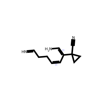 N#CC1(C(/C=C\CCC=N)=C/N)CC1